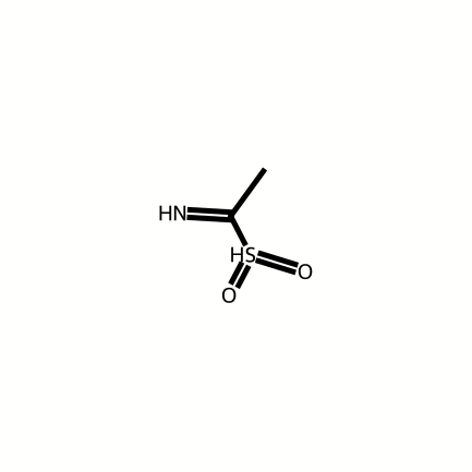 CC(=N)[SH](=O)=O